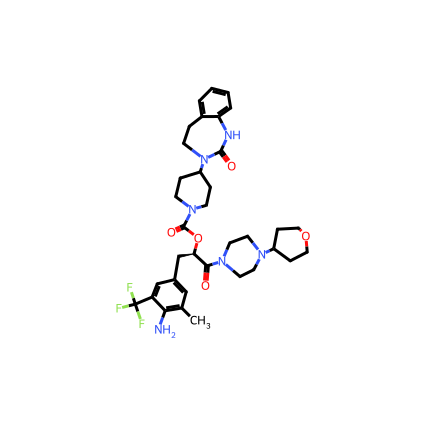 Cc1cc(C[C@@H](OC(=O)N2CCC(N3CCc4ccccc4NC3=O)CC2)C(=O)N2CCN(C3CCOCC3)CC2)cc(C(F)(F)F)c1N